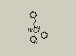 c1ccc(CCC2=N[C@H](c3ccccc3)[C@H](c3cccnc3)N2)cc1